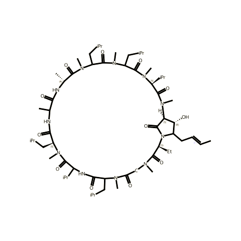 C/C=C/CC1[C@@H](O)[C@H]2C(=O)N1[C@@H](CC)C(=O)N(C)CC(=O)N(C)C(CC(C)C)C(=O)NC(C(C)C)C(=O)N(C)[C@@H](CC(C)C)C(=O)NC(C)C(=O)N[C@H](C)C(=O)N(C)C(CC(C)C)C(=O)N(C)C(CC(C)C)C(=O)N(C)[C@@H](C(C)C)C(=O)N2C